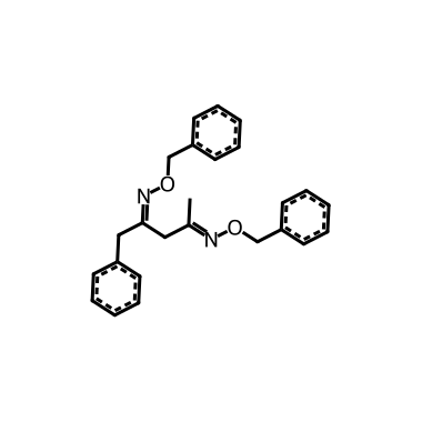 C/C(C/C(Cc1ccccc1)=N\OCc1ccccc1)=N\OCc1ccccc1